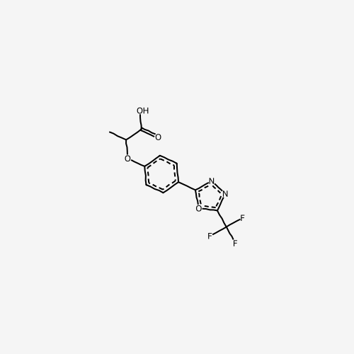 CC(Oc1ccc(-c2nnc(C(F)(F)F)o2)cc1)C(=O)O